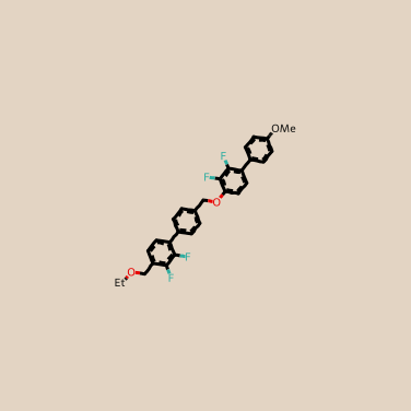 CCOCc1ccc(-c2ccc(COc3ccc(-c4ccc(OC)cc4)c(F)c3F)cc2)c(F)c1F